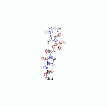 C[C@H]1[C@H](NC(=O)O)C(=O)N1P(=O)(O)OCC(=O)N1CCN(NC(=O)OC(C)(C)C)C1=O